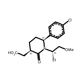 CC[C@@H](COC)N1C(=O)[C@@H](CC(=O)O)CC[C@H]1c1ccc(Cl)cc1